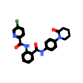 O=C(Nc1ccccc1C(=O)Nc1ccc(N2CCCCC2=O)cc1)c1ccc(Cl)cn1